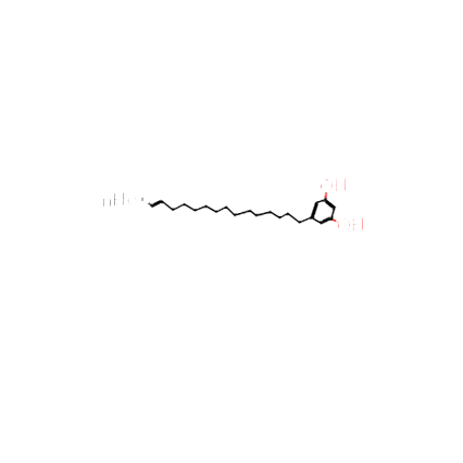 CCCCCCC=CCCCCCCCCCCCCCc1cc(O)cc(O)c1